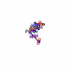 CC[C@H](C)[C@@H]([C@@H](CC(=O)N1CCC[C@H]1[C@H](OC)[C@@H](C)C(=O)N[C@@H](Cc1c[nH]c2ccccc12)C(=O)OCc1ccccc1)OC)N(C)[C@H](C(=O)NC(=O)[C@H](C(C)C)N(C)CCCC(=O)NNC(=O)CCCCCN1C(=O)C=CC1=O)C(C)C